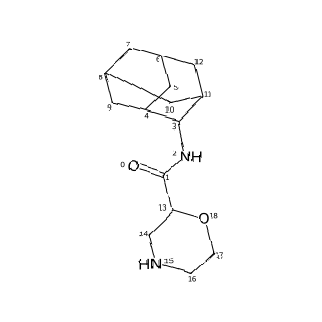 O=C(NC1C2CC3CC(C2)CC1C3)C1CNCCO1